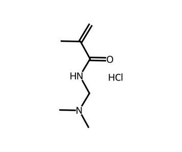 C=C(C)C(=O)NCN(C)C.Cl